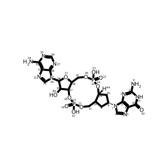 Nc1nc2c(ncn2[C@@H]2CC3COP(=O)(O)OC4C(COP(=O)(O)O[C@@H]3C2)OC(n2cnc3c(N)ncnc32)C4O)c(=O)[nH]1